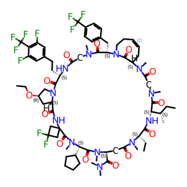 CCO[C@@H]1C[C@H]2C(=O)NC3(CC(F)(F)C3)C(=O)N(C)[C@@H](C3CCCC3)C(=O)N(C)[C@H](C(=O)N(C)C)CC(=O)N(C)[C@@H](CC)C(=O)N[C@@H]([C@@H](C)CC)C(=O)N(C)CC(=O)N(C)[C@H]3C/C=C\CCN(C3=O)[C@@H](Cc3ccc(C(F)(F)F)cc3)C(=O)N(C)CC(=O)N[C@@H](CCc3cc(F)c(C(F)(F)F)c(F)c3)C(=O)N2C1